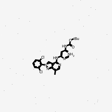 C=C(/C=C(\N=C/N)Nc1ncc(C)c2nn(-c3c(Cl)cccc3Cl)cc12)NC(=O)OC(C)(C)C